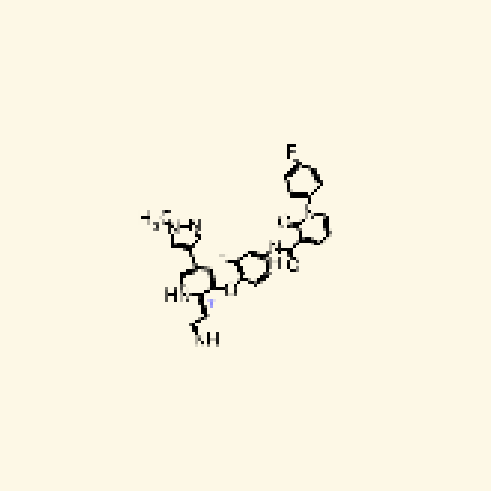 Cn1cc(C2=CN/C(=C\C=N)C(Oc3ccc(NC(=O)c4cccn(-c5ccc(F)cc5)c4=O)cc3F)=C2)cn1